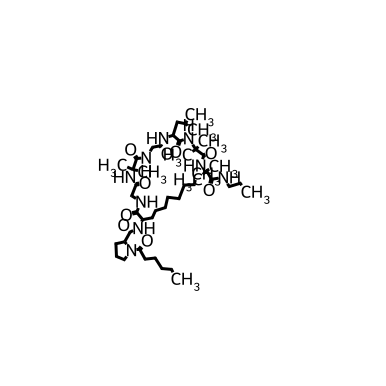 CCCCCCCCC(NC(=O)C1CCCN1C(=O)CCCCC)C(=O)NCC(=O)NC(C)(C)C(=O)NCC(=O)NC(CC(C)C)C(=O)NC(C)(C)C(=O)NC(C)(C)C(=O)NCCC